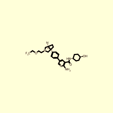 Nc1ncc(-c2ccc([C@@]34CC[C@@H]3CN(CCOCC(F)(F)F)C4)cc2)cc1C(=O)N[C@H]1CC[C@H](O)CC1